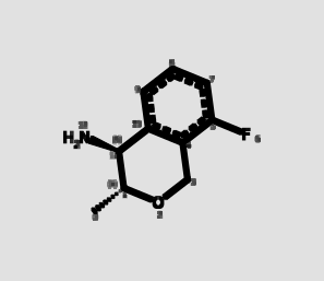 C[C@H]1OCc2c(F)cccc2[C@@H]1N